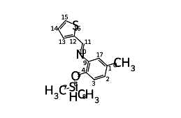 Cc1ccc(O[SiH](C)C)c(N=Cc2cccs2)c1